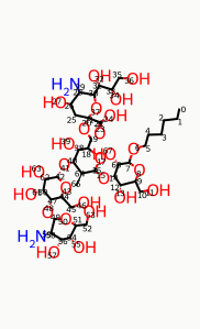 CCCCCCOC1OC(CO)[C@H](O)[C@H](OC2OC(CO[C@]3(C(=O)O)C[C@@H](O)[C@@H](N)C([C@H](O)[C@H](O)CO)O3)[C@@H](O)[C@H](O[C@@H]3OC(CO)[C@H](OC4OC(CO)[C@H](O)[C@H](O)[C@@H]4N)[C@H](O)C3O)[C@@H]2C)[C@@H]1O